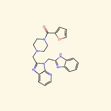 O=C(c1ccco1)N1CCN(Cc2nc3cccnc3n2Cc2nc3ccccc3[nH]2)CC1